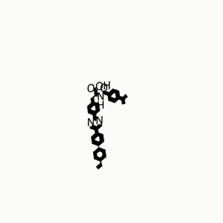 CC[C@H]1CC[C@H](c2ccc(-c3cnc(-c4ccc(C[C@H](NC(=O)c5ccc(C(C)C)cc5)C(=O)O)cc4)nc3)cc2)CC1